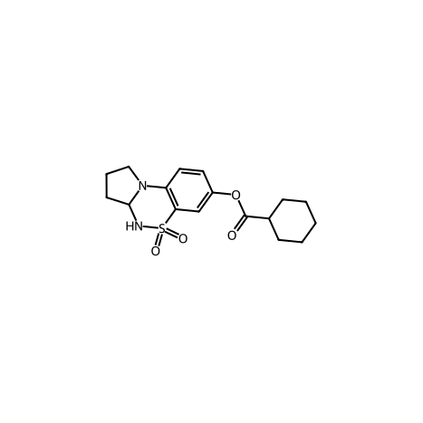 O=C(Oc1ccc2c(c1)S(=O)(=O)NC1CCCN21)C1CCCCC1